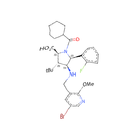 COc1ncc(Br)cc1CN[C@H]1[C@H](C(C)(C)C)[C@@H](C(=O)O)N(C(=O)C2CCCCC2)[C@H]1c1ccccc1F